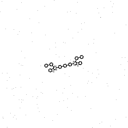 c1ccc(-c2cccc(-c3nc(-c4ccc(-c5ccc(-c6ccc(-c7nc(-c8cccc(-c9ccccc9)c8)c8c(n7)sc7ccccc78)cc6)cc5)cc4)nc4sc5ccccc5c34)c2)cc1